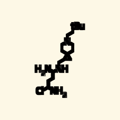 CC(C)(C)CCN1CCC2(CC1)CC2CN/C(N)=C/C=C(\N)Cl